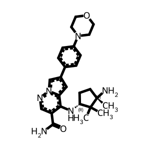 CC1(C)[C@H](Nc2c(C(N)=O)cnn3cc(-c4ccc(N5CCOCC5)cc4)cc23)CC[C@]1(C)N